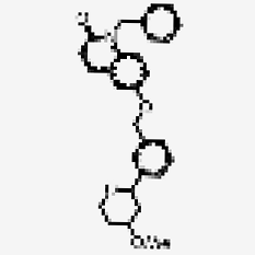 COC1CCOC(c2cccc(COc3ccc4c(ccc(=O)n4Cc4ccccc4)c3)c2)C1